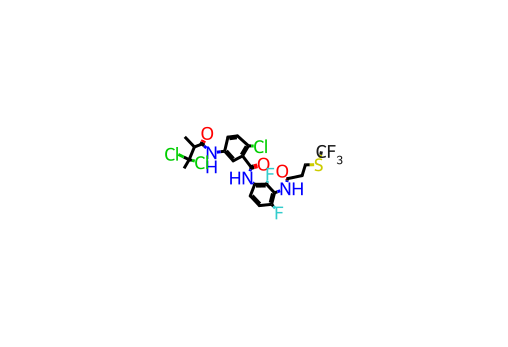 CC(C(=O)Nc1ccc(Cl)c(C(=O)Nc2ccc(F)c(NC(=O)CCSC(F)(F)F)c2F)c1)C(C)(Cl)Cl